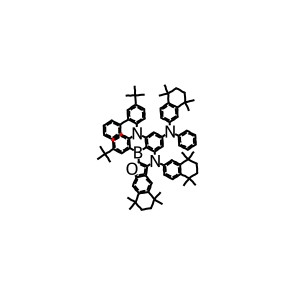 CC(C)(C)c1ccc2c(c1)B1c3oc4cc5c(cc4c3N(c3ccc4c(c3)C(C)(C)CCC4(C)C)c3cc(N(c4ccccc4)c4ccc6c(c4)C(C)(C)CCC6(C)C)cc(c31)N2c1ccc(C(C)(C)C)cc1-c1ccccc1)C(C)(C)CCC5(C)C